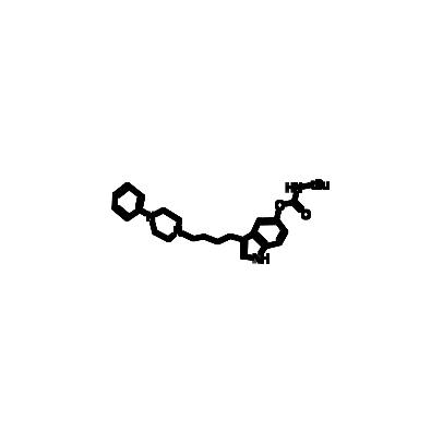 CC(C)(C)NC(=O)Oc1ccc2[nH]cc(CCCCN3CCN(c4ccccc4)CC3)c2c1